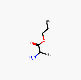 CCC(C)C(N)C(=O)OCCC(C)C